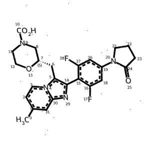 Cc1ccn2c(C[C@H]3CN(C(=O)O)CCO3)c(-c3c(F)cc(N4CCCC4=O)cc3F)nc2c1